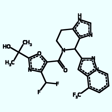 CC(C)(O)c1nc(C(F)F)c(C(=O)N2CCc3[nH]cnc3C2c2cc3c(C(F)(F)F)cccn3n2)o1